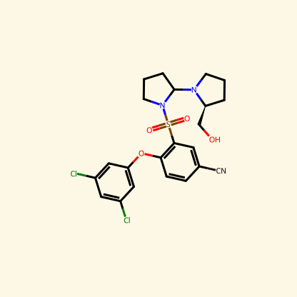 N#Cc1ccc(Oc2cc(Cl)cc(Cl)c2)c(S(=O)(=O)N2CCCC2N2CCC[C@H]2CO)c1